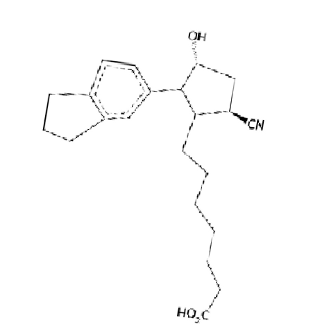 N#C[C@@H]1C[C@@H](O)C(c2ccc3c(c2)CCC3)C1CCCCCCC(=O)O